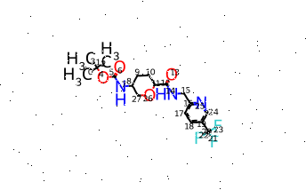 CC(C)(C)OC(=O)NC1CCC(C(=O)NCc2ccc(C(F)(F)F)cn2)OC1